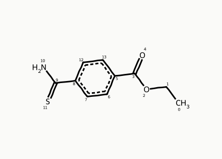 CCOC(=O)c1ccc(C(N)=S)cc1